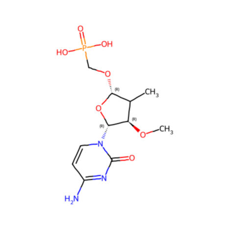 CO[C@@H]1C(C)[C@@H](OCP(=O)(O)O)O[C@H]1n1ccc(N)nc1=O